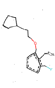 N#Cc1c(F)cccc1OCCC1CCCC1